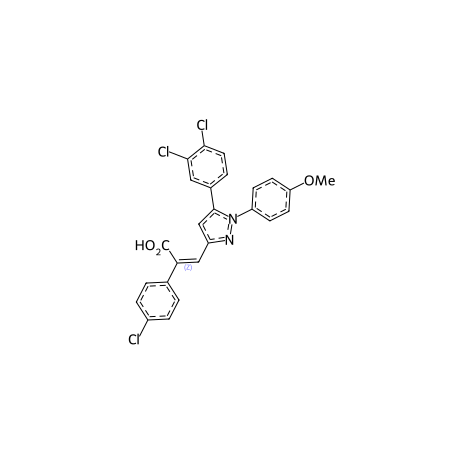 COc1ccc(-n2nc(/C=C(\C(=O)O)c3ccc(Cl)cc3)cc2-c2ccc(Cl)c(Cl)c2)cc1